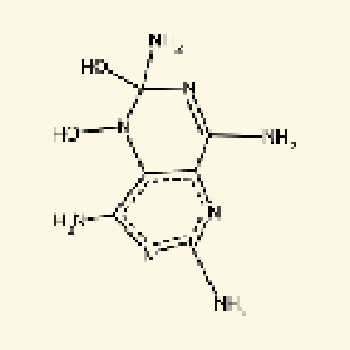 NC1=NC(N)(O)N(O)c2c(N)nc(N)nc21